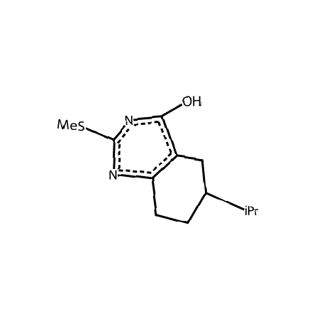 CSc1nc(O)c2c(n1)CCC(C(C)C)C2